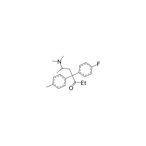 CCC(=O)C(CC(C)N(C)C)(c1ccc(C)cc1)c1ccc(F)cc1